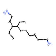 CCC(CCN)C(CC)CCCCCCN